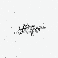 CCN(CC)Cc1cc(C2CCc3ccc(C(C4CC4)[C@H](C)C(=O)O)cc3O2)ccc1-c1ccnc(OC)c1